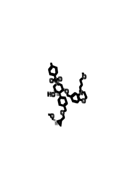 COCCCN1CCOc2ccc(CO[C@H]3CN(S(=O)(=O)c4ccc(C)cc4)C[C@@H](O)[C@@H]3c3ccc(COCC4C[C@@H]4COC)cc3)cc21